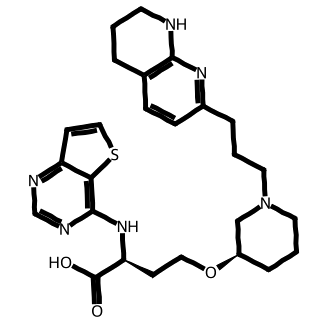 O=C(O)[C@H](CCO[C@@H]1CCCN(CCCc2ccc3c(n2)NCCC3)C1)Nc1ncnc2ccsc12